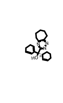 OC(C1=CCCC=C1)(c1nnc2c(n1)CCCCC2)[C@H]1C=CCCC1